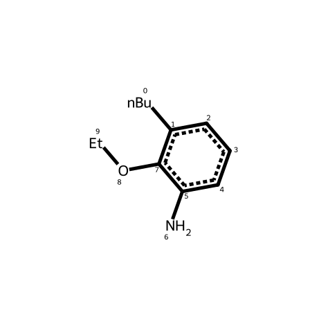 CCCCc1cccc(N)c1OCC